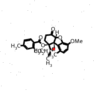 COc1ccc(C)c2c1O[C@H]1C(=O)CC[C@@]3(OC(=O)c4ccc(C)cc4C(=O)O)[C@@H](C)N(C)CC[C@]213